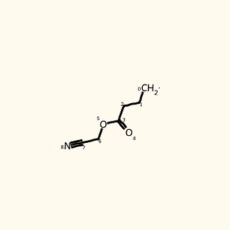 [CH2]CCC(=O)OCC#N